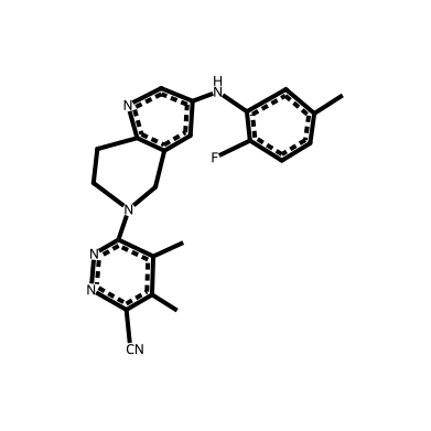 Cc1ccc(F)c(Nc2cnc3c(c2)CN(c2nnc(C#N)c(C)c2C)CC3)c1